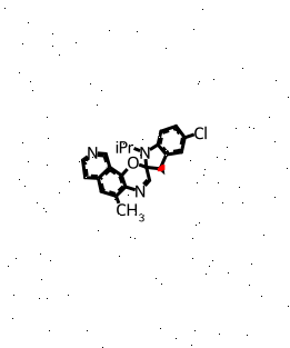 Cc1cc2ccncc2c2c1N=CC1(O2)N(C(C)C)c2ccc(Cl)cc2C12CCCC2